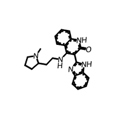 CN1CCCC1CCNc1c(-c2nc3ccccc3[nH]2)c(=O)[nH]c2ccccc12